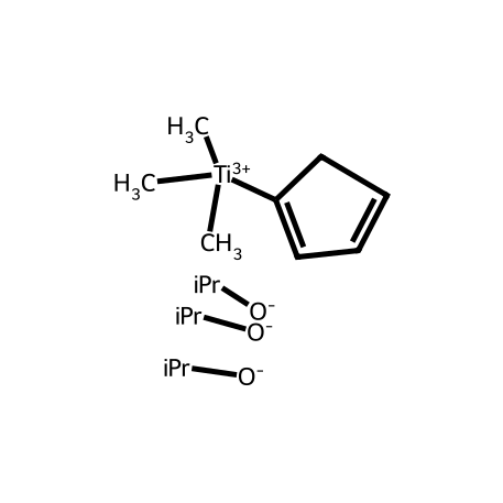 CC(C)[O-].CC(C)[O-].CC(C)[O-].[CH3][Ti+3]([CH3])([CH3])[C]1=CC=CC1